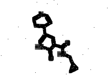 O=C(NCC1CC1)c1cc(-c2ccncc2)c[nH]c1=O